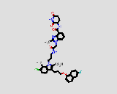 Cc1c(Cl)ccc2c(CCCOc3cccc4cc(F)ccc34)c(C(=O)O)n(CCCNC(=O)Cn3c(C)nc4c(C(=O)NC5CCC(=O)NC5=O)cccc43)c12